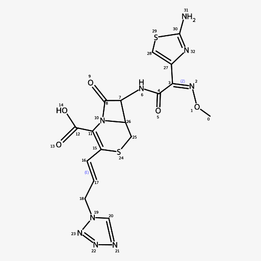 CO/N=C(\C(=O)NC1C(=O)N2C(C(=O)O)=C(/C=C/Cn3cnnn3)SCC12)c1csc(N)n1